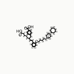 O=C(O)CCCCC(/C=C/c1ccccc1OCCCCCN1CCN(C2CCCCCC2)CC1)Cc1ccc(C(=O)O)cc1